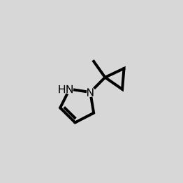 CC1(N2CC=CN2)CC1